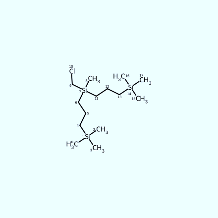 C[Si](C)(C)CCC[Si](C)(CCl)CCC[Si](C)(C)C